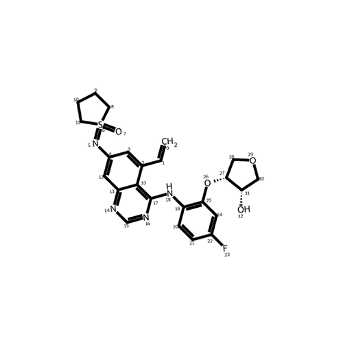 C=Cc1cc(N=S2(=O)CCCC2)cc2ncnc(Nc3ccc(F)cc3O[C@@H]3COC[C@@H]3O)c12